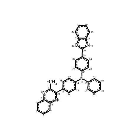 Cc1nc2ccccc2nc1-c1ccc(N(c2ccccc2)c2ccc(-c3nc4ccccc4o3)cc2)cc1